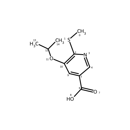 CSc1ncc(C(=O)O)cc1OC(C)C